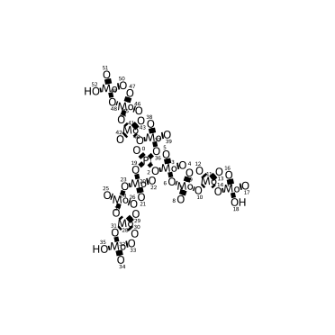 O=P([O][Mo](=[O])(=[O])[O][Mo](=[O])(=[O])[O][Mo](=[O])(=[O])[O][Mo](=[O])(=[O])[OH])([O][Mo](=[O])(=[O])[O][Mo](=[O])(=[O])[O][Mo](=[O])(=[O])[O][Mo](=[O])(=[O])[OH])[O][Mo](=[O])(=[O])[O][Mo](=[O])(=[O])[O][Mo](=[O])(=[O])[O][Mo](=[O])(=[O])[OH]